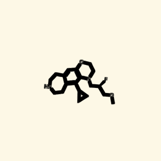 COC[C@H](F)CN1CCOc2cc3c(c(C4CC4)c21)CCNCC3